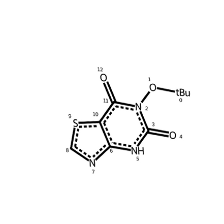 CC(C)(C)On1c(=O)[nH]c2ncsc2c1=O